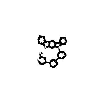 N#Cc1cc(-c2cccc(-c3cccc(-n4c5ccccc5c5cc6c(cc54)oc4ccccc46)c3)c2)ccn1